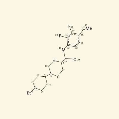 CCC1CCC(C2CCC(C(=O)Oc3ccc(OC)c(F)c3F)CC2)CC1